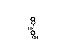 Oc1ccc(NCC2Cc3ccccc3C2)cc1